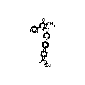 Cn1c(OC2CCN(c3ccc(N4CCN(C(=O)OC(C)(C)C)CC4)cc3)CC2)nc(-c2ccncn2)cc1=O